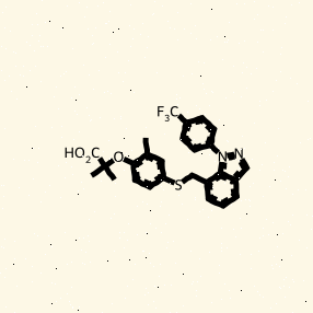 Cc1cc(SCc2cccc3cnn(-c4ccc(C(F)(F)F)cc4)c23)ccc1OC(C)(C)C(=O)O